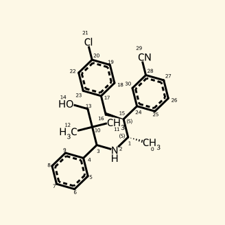 C[C@H](NC(c1ccccc1)C(C)(C)CO)[C@@H](Cc1ccc(Cl)cc1)c1cccc(C#N)c1